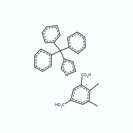 Cc1cc(C(=O)O)cc(C(=O)O)c1I.c1ccc(C(c2ccccc2)(c2ccccc2)n2ccnc2)cc1